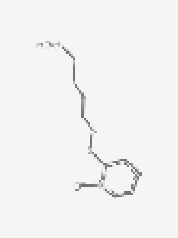 CCCCCCCCCCCCSSc1cccc[n+]1[O-]